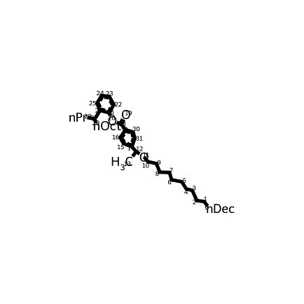 CCCCCCCCCCCCCCCCCCCCOC(C)c1ccc(C(=O)Oc2ccccc2C(CCC)CCCCCCCC)cc1